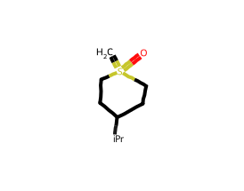 C=S1(=O)CCC(C(C)C)CC1